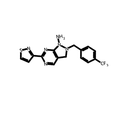 NN1c2nc(-c3ccsn3)ncc2CN1Cc1ccc(C(F)(F)F)cc1